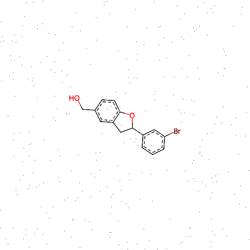 OCc1ccc2c(c1)CC(c1cccc(Br)c1)O2